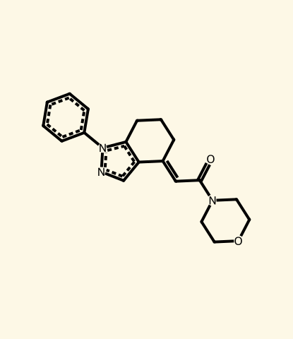 O=C(/C=C1\CCCc2c1cnn2-c1ccccc1)N1CCOCC1